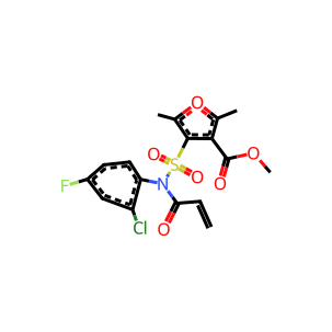 C=CC(=O)N(c1ccc(F)cc1Cl)S(=O)(=O)c1c(C)oc(C)c1C(=O)OC